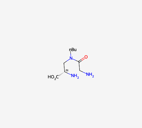 CCCCN(C[C@H](N)C(=O)O)C(=O)CN